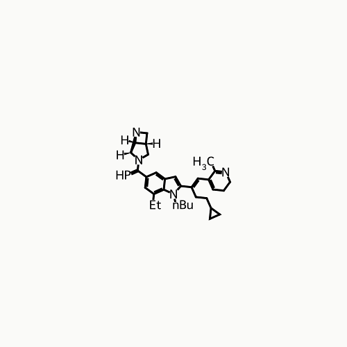 CCCCn1c(/C(=C/C2=CCCN=C2C)CCC2CC2)cc2cc(C(=P)N3C[C@H]4CN5[C@H]4[C@H]35)cc(CC)c21